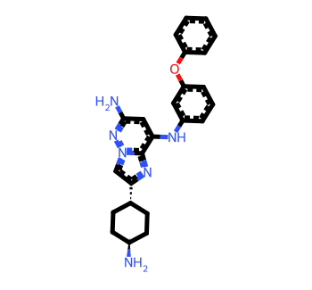 Nc1cc(Nc2cccc(Oc3ccccc3)c2)c2nc([C@H]3CC[C@H](N)CC3)cn2n1